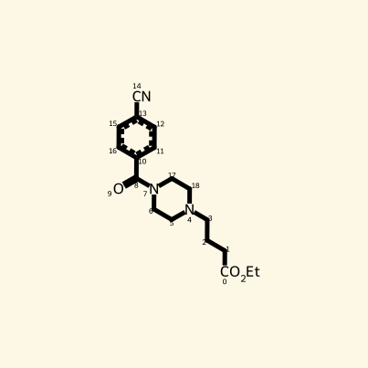 CCOC(=O)CCCN1CCN(C(=O)c2ccc(C#N)cc2)CC1